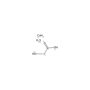 O=C(O)CO.S.[CaH2]